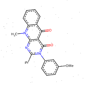 COc1cccc(-n2c(C(C)C)nc3c(c(=O)c4ccccc4n3C)c2=O)c1